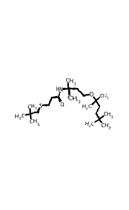 CC(C)(C)CCC(C)(C)OCCC(C)(C)NC(=O)CCSCC(C)(C)C